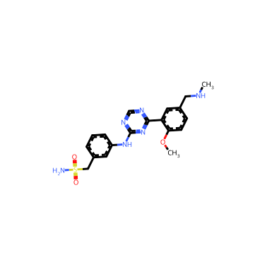 CNCc1ccc(OC)c(-c2ncnc(Nc3cccc(CS(N)(=O)=O)c3)n2)c1